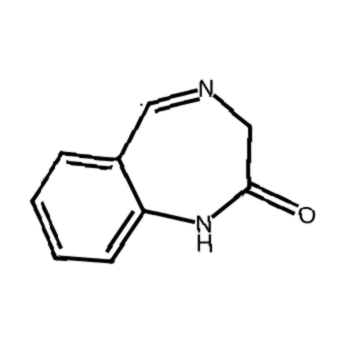 O=C1CN=[C]c2ccccc2N1